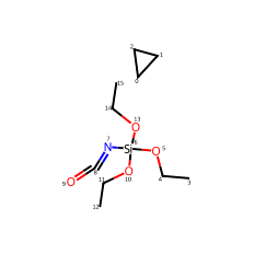 C1CC1.CCO[Si](N=C=O)(OCC)OCC